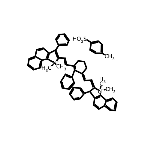 C[N+]1(C)C(C=CC2=C(c3ccccc3)C(=CC=C3C(c4ccccc4)c4ccc5ccccc5c4[N+]3(C)C)CCC2)=C(c2ccccc2)c2ccc3ccccc3c21.Cc1ccc(S(=O)(=O)O)cc1